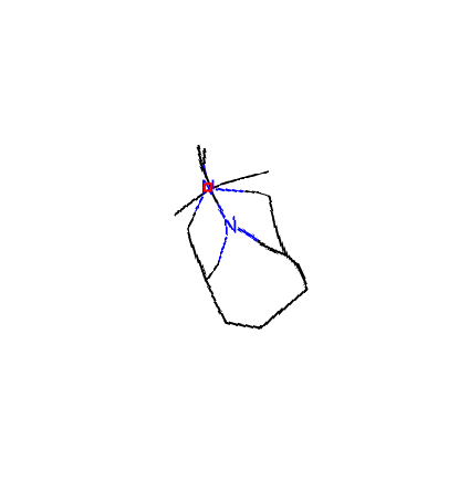 CN1CC2CCCC(C1)N2C(C)(C)C